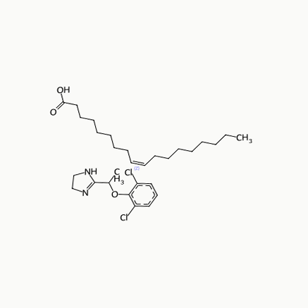 CC(Oc1c(Cl)cccc1Cl)C1=NCCN1.CCCCCCCC/C=C\CCCCCCCC(=O)O